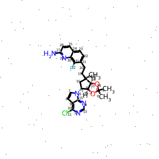 CC1(C)O[C@H]2[C@H](n3ccc4c(Cl)ncnc43)C[C@](C)(CCc3ccc4ccc(N)nc4c3F)[C@H]2O1